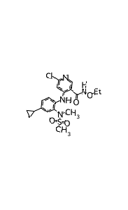 CCONC(=O)c1cnc(Cl)cc1Nc1ccc(C2CC2)cc1N(C)S(C)(=O)=O